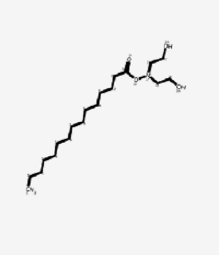 CCCCCCCCCCCCCCC(=O)ON(CCO)CCO